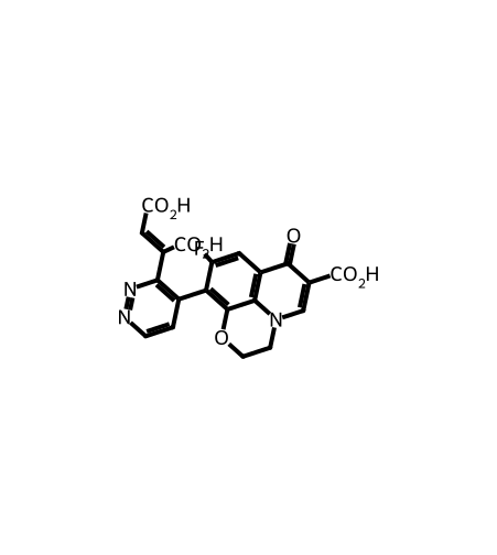 O=C(O)C=C(C(=O)O)c1nnccc1-c1c(F)cc2c(=O)c(C(=O)O)cn3c2c1OCC3